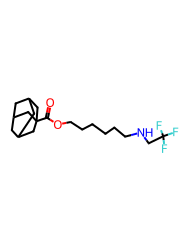 O=C(OCCCCCCNCC(F)(F)F)C12CC3CC(CC(C3)C1)C2